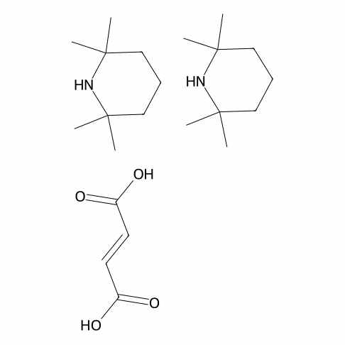 CC1(C)CCCC(C)(C)N1.CC1(C)CCCC(C)(C)N1.O=C(O)/C=C/C(=O)O